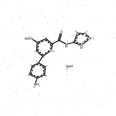 COc1cc(C(=O)Nc2nnn[nH]2)nc(-c2ccc(N)cc2)c1.[NaH]